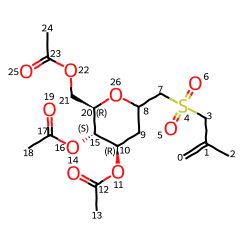 C=C(C)CS(=O)(=O)CC1C[C@@H](OC(C)=O)[C@H](OC(C)=O)[C@@H](COC(C)=O)O1